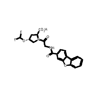 O=C(NCC(=O)N1C[C@H](OC(F)F)CC1C(=O)O)c1ccc2c(c1)oc1ccccc12